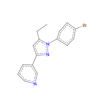 CCc1cc(-c2cccnc2)nn1-c1ccc(Br)cc1